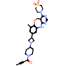 CC#CC(=O)N1CCC(N2CC(c3cc(C)c4c(c3)Nc3ncnc(N5CCS(=O)(=O)CC5)c3CO4)C2)CC1